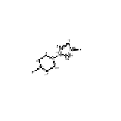 C[C]1CCC(N2N=CN(C)N2)CC1